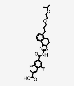 CC(=Cc1c(F)cc(C(=O)Nc2nc3c(s2)CCc2c(CCCOCCOC(C)C)cccc2-3)cc1F)C(=O)O